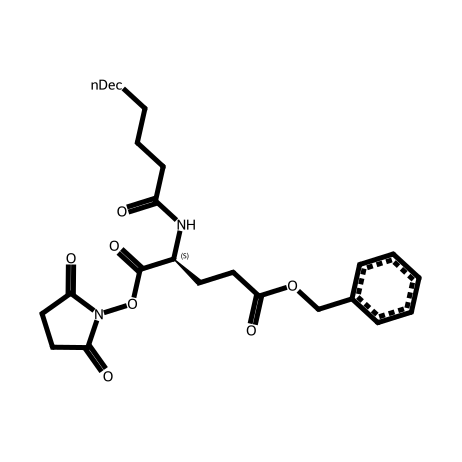 CCCCCCCCCCCCCC(=O)N[C@@H](CCC(=O)OCc1ccccc1)C(=O)ON1C(=O)CCC1=O